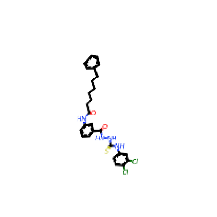 O=C(CCCCCCc1ccccc1)Nc1cccc(C(=O)NNC(=S)Nc2ccc(Cl)c(Cl)c2)c1